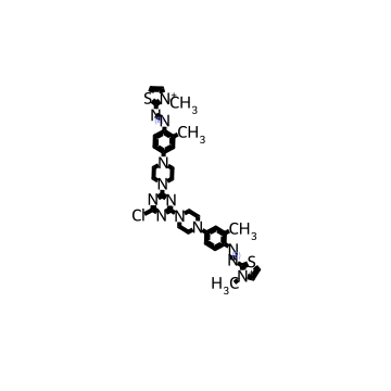 Cc1cc(N2CCN(c3nc(Cl)nc(N4CCN(c5ccc(/N=N/c6scc[n+]6C)c(C)c5)CC4)n3)CC2)ccc1/N=N/c1scc[n+]1C